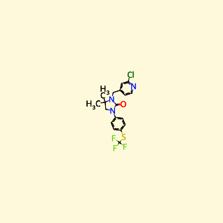 CC1(C)CN(c2ccc(SC(F)(F)F)cc2)C(=O)N1Cc1ccnc(Cl)c1